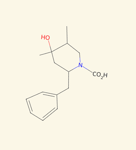 CC1CN(C(=O)O)C(Cc2ccccc2)CC1(C)O